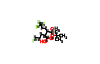 CC(C)(C)OC(=O)C(CCC(F)(F)F)C(CCCF)C(=O)O